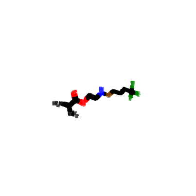 C=C(C)C(=O)OCCNSCCCC(F)(F)F